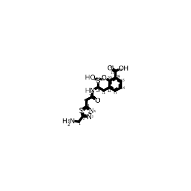 NCc1nnc(CC(=O)NC2Cc3cccc(C(=O)O)c3OB2O)s1